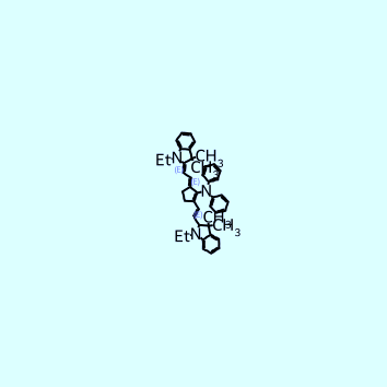 CCN1/C(=C/C=C2\CCC(/C=C/C3N(CC)c4ccccc4C3(C)C)=C2N(c2ccccc2)c2ccccc2)C(C)(C)c2ccccc21